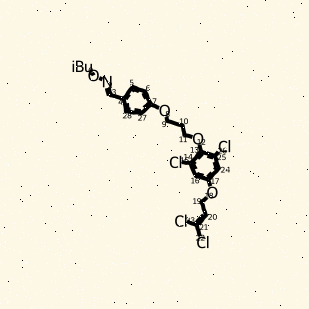 CCC(C)O/N=C/c1ccc(OCCCOc2c(Cl)cc(OCC=C(Cl)Cl)cc2Cl)cc1